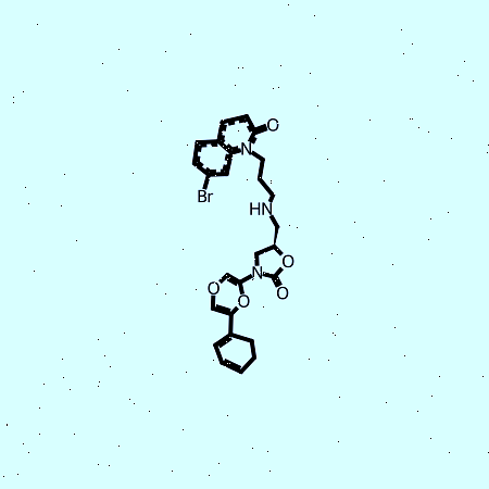 O=C1O[C@H](CNCCCn2c(=O)ccc3ccc(Br)cc32)CN1C1=COC=C(C2=CC=CCC2)O1